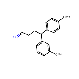 COc1ccc(C(CCC=N)c2cccc(OC)c2)cc1